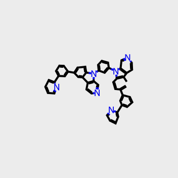 C=C(/C=C\c1c(C)c2ccncc2n1-c1cccc(-n2c3ccc(-c4cccc(-c5ccccn5)c4)cc3c3ccncc32)c1)c1cccc(-c2ccccn2)c1